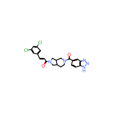 O=C(C=Cc1cc(Cl)cc(Cl)c1)N1CC2CCN(C(=O)c3ccc4[nH]nnc4c3)CC2C1